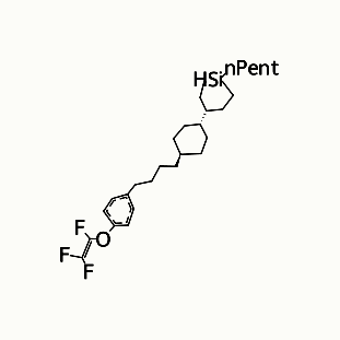 CCCCC[SiH]1CCC([C@H]2CC[C@H](CCCCc3ccc(OC(F)=C(F)F)cc3)CC2)CC1